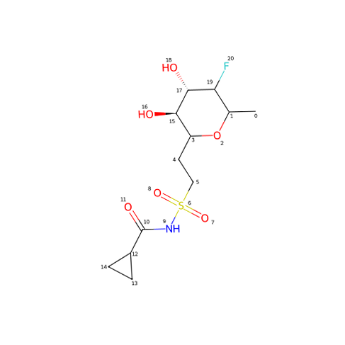 CC1OC(CCS(=O)(=O)NC(=O)C2CC2)[C@@H](O)[C@H](O)C1F